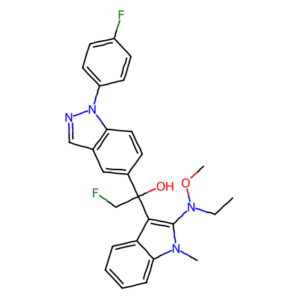 CCN(OC)c1c(C(O)(CF)c2ccc3c(cnn3-c3ccc(F)cc3)c2)c2ccccc2n1C